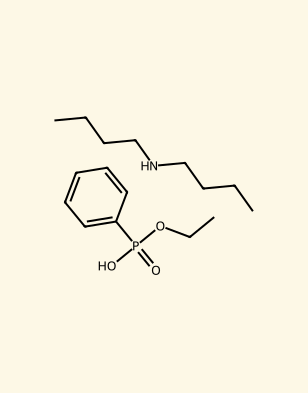 CCCCNCCCC.CCOP(=O)(O)c1ccccc1